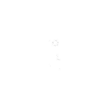 COC(=O)c1cccc(C2CCN(C(=O)OC(C)(C)C)CC2)n1